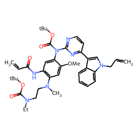 C=CCn1cc(-c2ccnc(N(C(=O)OC(C)(C)C)c3cc(NC(=O)C=C)c(N(C)CCN(CC)C(=O)OC(C)(C)C)cc3OC)n2)c2ccccc21